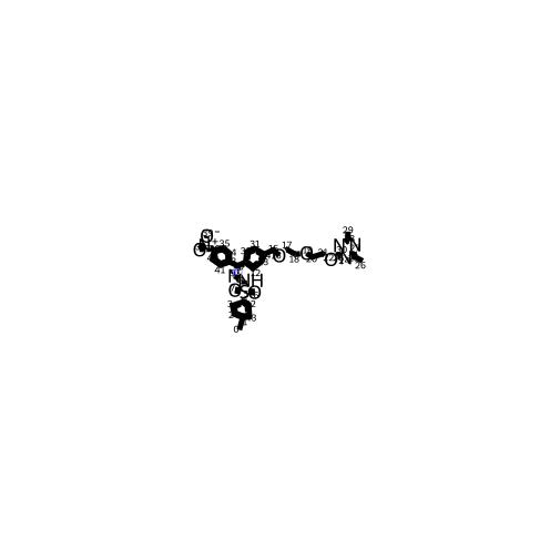 Cc1ccc(S(=O)(=O)N/N=C(\c2ccc(COCCOCCOc3nc(C)nc(C)n3)cc2)c2ccc([N+](=O)[O-])cc2)cc1